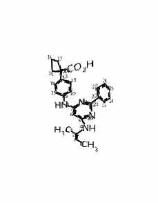 C/C=C(/C)Nc1cc(Nc2ccc(C3(C(=O)O)CCC3)cc2)nc(-c2ccccc2)n1